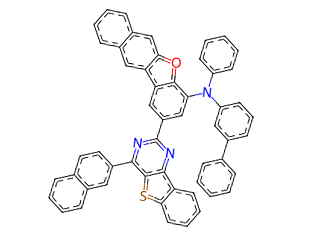 c1ccc(-c2cccc(N(c3ccccc3)c3cc(-c4nc(-c5ccc6ccccc6c5)c5sc6ccccc6c5n4)cc4c3oc3cc5ccccc5cc34)c2)cc1